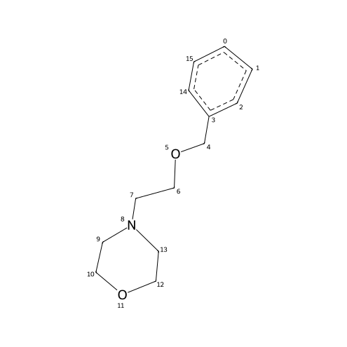 c1ccc(COCCN2CCOCC2)cc1